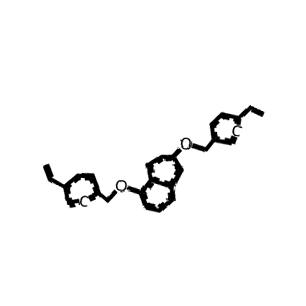 C=Cc1ccc(COc2ccc3c(OCc4ccc(C=C)cc4)cccc3c2)cc1